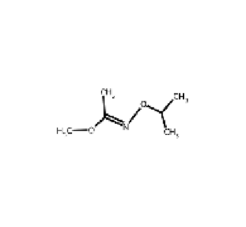 CO/C(C)=N/OC(C)C